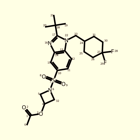 CC(=O)OC1CN(S(=O)(=O)c2ccc3c(c2)nc(C(C)(C)C)n3CC2CCC(F)(F)CC2)C1